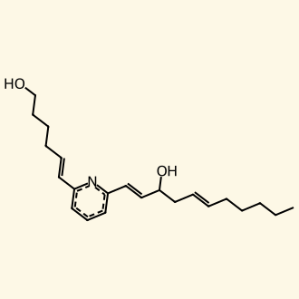 CCCCC/C=C/CC(O)/C=C/c1cccc(/C=C/CCCCO)n1